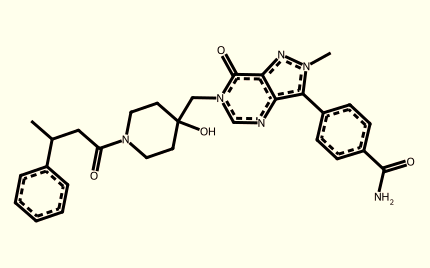 CC(CC(=O)N1CCC(O)(Cn2cnc3c(-c4ccc(C(N)=O)cc4)n(C)nc3c2=O)CC1)c1ccccc1